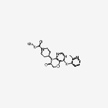 Cc1ncccc1Oc1ncnc2c1OCC(=O)N2C1CCN(C(=O)OC(C)(C)C)CC1